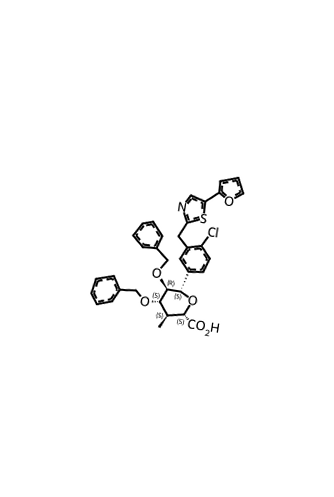 C[C@H]1[C@H](OCc2ccccc2)[C@@H](OCc2ccccc2)[C@H](c2ccc(Cl)c(Cc3ncc(-c4ccco4)s3)c2)O[C@@H]1C(=O)O